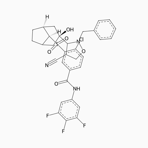 N#CC1CON(Cc2ccccc2)C1[C@]1(O)CC2CC[C@@H](C1)[C@H]2S(=O)(=O)c1cc(C(=O)Nc2cc(F)c(F)c(F)c2)ccc1Cl